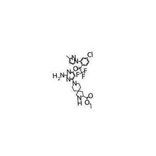 CCOC(=O)C1CC2(CCN(c3cc(O[C@H](c4ccc(Cl)cc4-n4ccc(C)n4)C(F)(F)F)nc(N)n3)CC2)CN1